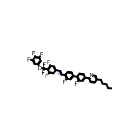 CCCCCc1ccc(-c2ccc(-c3ccc(/C=C/c4cc(F)c(C(F)(F)Oc5cc(F)c(F)c(F)c5)c(F)c4)c(F)c3)c(F)c2)nc1